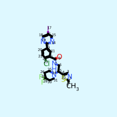 Cc1ncc(C(CNC(=O)c2cc(-c3ncc(I)cn3)ccc2Cl)N2CCC(F)(F)CC2)s1